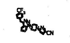 N#Cc1ccc(N2CCN(c3nnc(Cc4ccc(C(F)(F)F)cc4)c4ccccc34)CC2)nc1